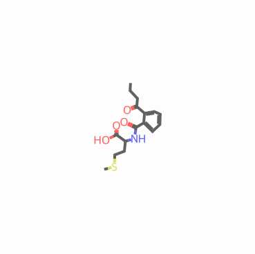 CCCC(=O)c1ccccc1C(=O)NC(CCSC)C(=O)O